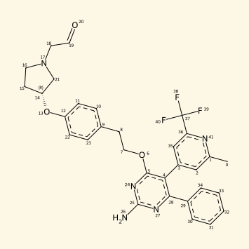 Cc1cc(-c2c(OCCc3ccc(O[C@@H]4CCN(CC=O)C4)cc3)nc(N)nc2-c2ccccc2)cc(C(F)(F)F)n1